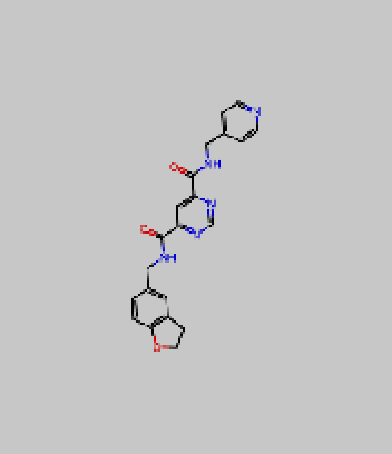 O=C(NCc1ccncc1)c1cc(C(=O)NCc2ccc3c(c2)CCO3)ncn1